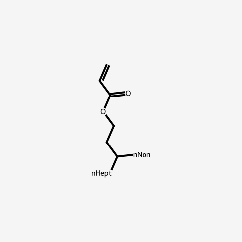 C=CC(=O)OCCC(CCCCCCC)CCCCCCCCC